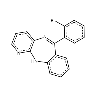 Brc1ccccc1C1=Nc2cccnc2Nc2ccccc21